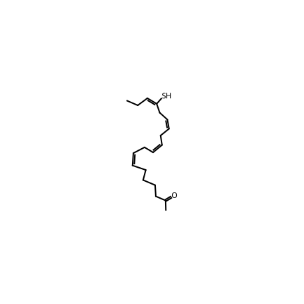 CC/C=C(/S)C/C=C\C/C=C\C/C=C\CCCCC(C)=O